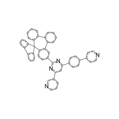 c1cncc(-c2cc(-c3ccc(-c4ccncc4)cc3)nc(-c3ccc4c(c3)-c3ccccc3-c3ccccc3C43c4ccccc4-c4ccccc43)n2)c1